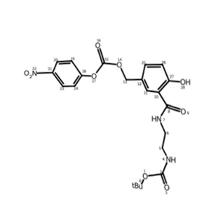 CC(C)(C)OC(=O)NCCNC(=O)c1cc(COC(=O)Oc2ccc([N+](=O)[O-])cc2)ccc1O